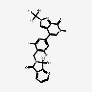 [2H]C1([2H])c2ncccc2C(=O)N1Cc1c(F)cc(-c2cn(C)c(=O)c3nn(C([2H])([2H])[2H])cc23)cc1F